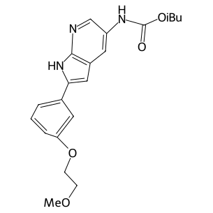 COCCOc1cccc(-c2cc3cc(NC(=O)OCC(C)C)cnc3[nH]2)c1